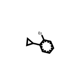 CCc1ccc[c]c1C1CC1